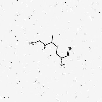 CCCC(C=N)CCC(C)NCO